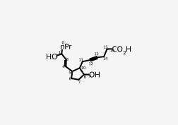 CCCC(O)/C=C/C1CCC(O)C1CC#CCCC(=O)O